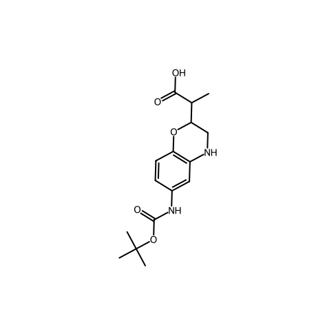 CC(C(=O)O)C1CNc2cc(NC(=O)OC(C)(C)C)ccc2O1